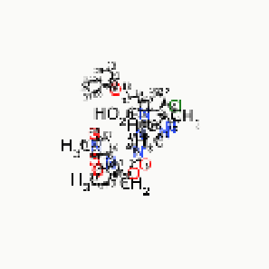 C=C(OCC(=O)N1CCN(CCn2c(C(=O)O)c(CCCOc3cccc4ccccc34)c3ccc(Cl)c(-c4c(C)nn(C)c4C)c32)CC1)C1=C(/C=C\C)C(=O)N(C2CCC(=O)N(C)C2=O)C1